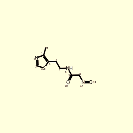 Cc1ncsc1CCNC(=O)CN=O